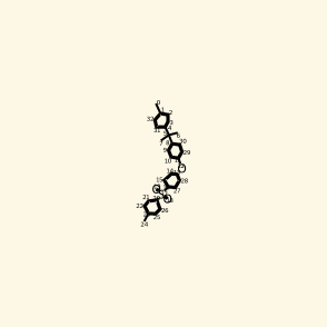 Cc1ccc(C(C)(C)c2ccc(Oc3ccc(S(=O)(=O)c4ccc(C)cc4)cc3)cc2)cc1